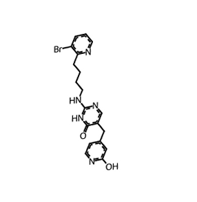 O=c1[nH]c(NCCCCc2ncccc2Br)ncc1Cc1ccnc(O)c1